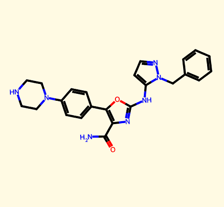 NC(=O)c1nc(Nc2ccnn2Cc2ccccc2)oc1-c1ccc(N2CCNCC2)cc1